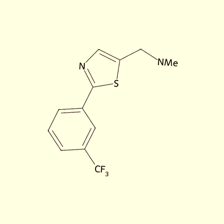 [CH2-][NH2+]Cc1cnc(-c2cccc(C(F)(F)F)c2)s1